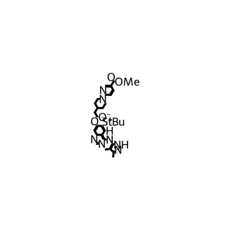 COC(=O)c1ccc(N2CCC(CCOc3cc4ncnc(Nc5[nH]nc(C)c5C)c4cc3[S+]([O-])C(C)(C)C)CC2)nc1